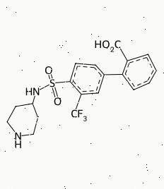 O=C(O)c1ccccc1-c1ccc(S(=O)(=O)NC2CCNCC2)c(C(F)(F)F)c1